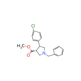 COC(=O)[C@@H]1CN(Cc2ccccc2)CC1c1ccc(Cl)cc1